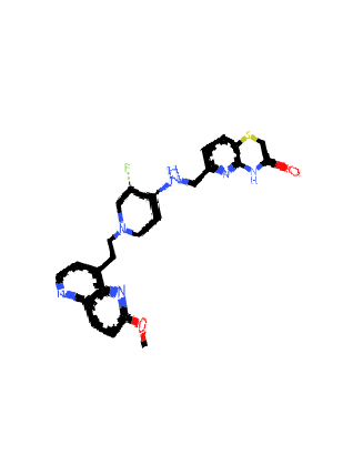 COc1ccc2nccc(CCN3CC[C@H](NCc4ccc5c(n4)NC(=O)CS5)[C@@H](F)C3)c2n1